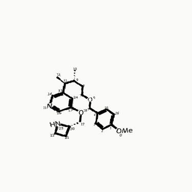 COc1ccc(COCC[C@@H](C)[C@H](C)c2cncc(OC[C@@H]3CCN3)c2)cc1